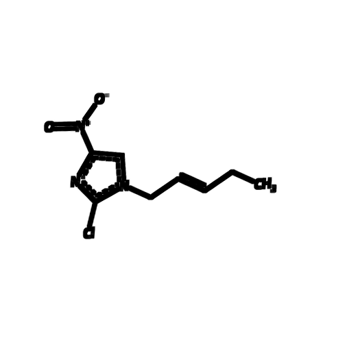 CCC=CCn1cc([N+](=O)[O-])nc1Cl